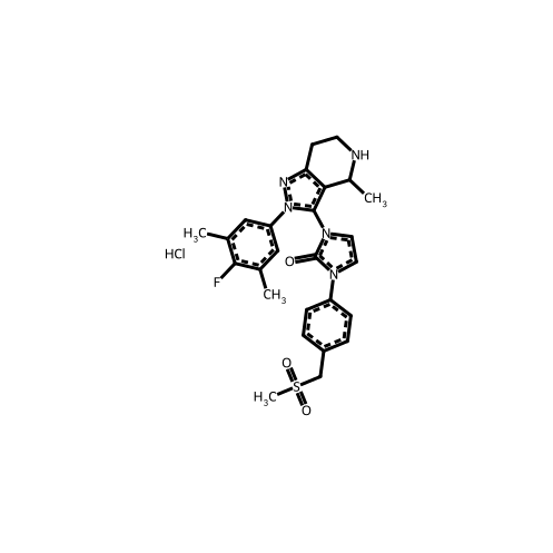 Cc1cc(-n2nc3c(c2-n2ccn(-c4ccc(CS(C)(=O)=O)cc4)c2=O)C(C)NCC3)cc(C)c1F.Cl